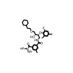 CCCN(CCC)C(=O)c1cc(C)cc(C(=O)N[C@@H](Cc2cc(F)cc(F)c2)[C@@H](O)[C@H](O)COCCC2CCCCC2)c1